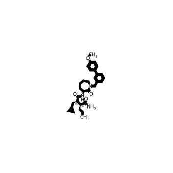 CCC[C@H](C(N)=O)[C@@H](CC1CC1)C(=O)N[C@H]1CCCCN(Cc2cccc(-c3ccc(OC)cc3)c2)C1=O